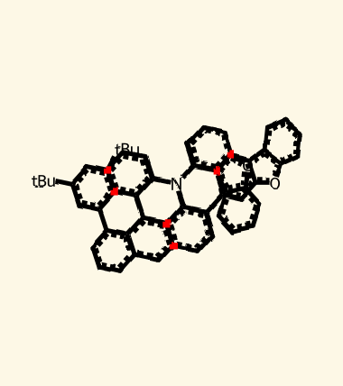 CC(C)(C)c1cc(-c2cccc3cccc(-c4ccccc4N(c4ccccc4-c4ccc5c(c4)oc4ccccc45)c4cccc5oc6ccccc6c45)c23)cc(C(C)(C)C)c1